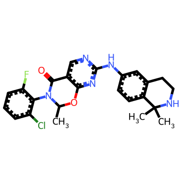 CC1Oc2nc(Nc3ccc4c(c3)CCNC4(C)C)ncc2C(=O)N1c1c(F)cccc1Cl